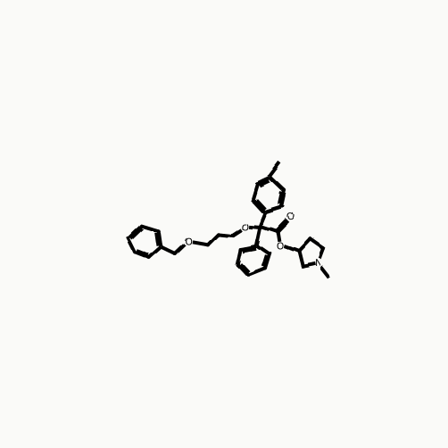 Cc1ccc(C(OCCCOCc2ccccc2)(C(=O)OC2CCN(C)C2)c2ccccc2)cc1